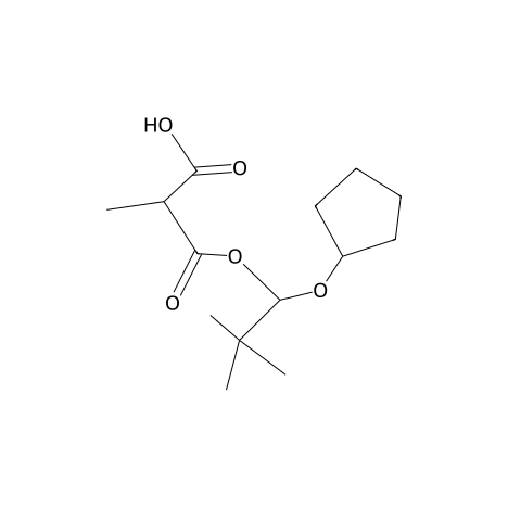 CC(C(=O)O)C(=O)OC(OC1CCCC1)C(C)(C)C